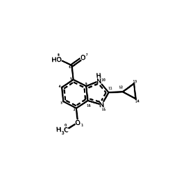 COc1ccc(C(=O)O)c2[nH]c(C3CC3)nc12